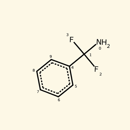 NC(F)(F)c1ccccc1